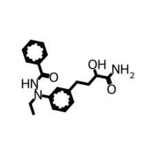 CCN(NC(=O)c1ccccc1)c1cccc(CCC(O)C(N)=O)c1